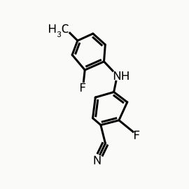 Cc1ccc(Nc2ccc(C#N)c(F)c2)c(F)c1